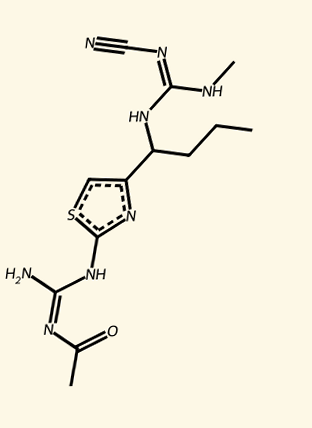 CCCC(N/C(=N\C#N)NC)c1csc(N/C(N)=N\C(C)=O)n1